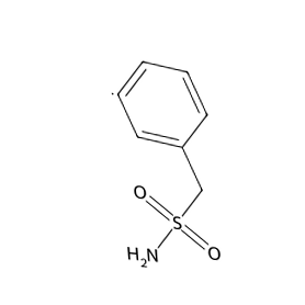 NS(=O)(=O)Cc1c[c]ccc1